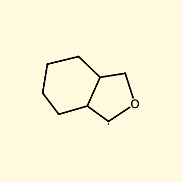 [CH]1OCC2CCCCC12